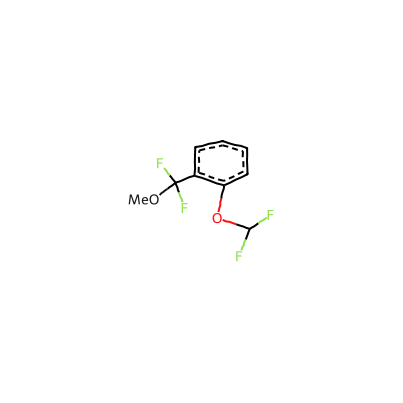 COC(F)(F)c1ccccc1OC(F)F